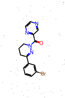 O=C(c1cnccn1)N1CCCC(c2cccc(Br)c2)=N1